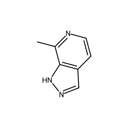 Cc1nccc2cn[nH]c12